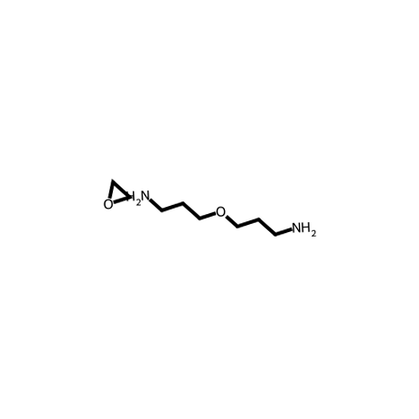 C1CO1.NCCCOCCCN